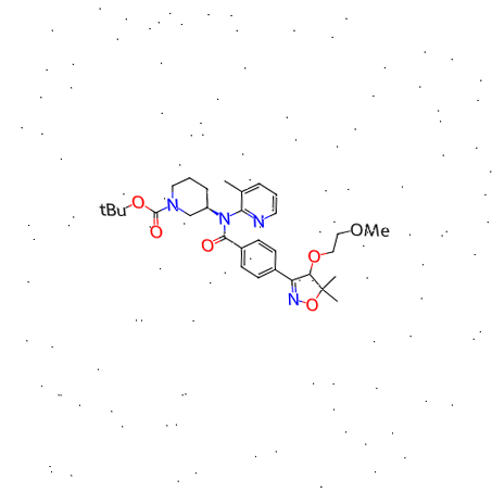 COCCOC1C(c2ccc(C(=O)N(c3ncccc3C)[C@@H]3CCCN(C(=O)OC(C)(C)C)C3)cc2)=NOC1(C)C